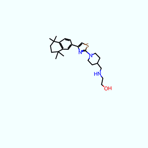 CC1(C)CCC(C)(C)c2cc(-c3csc(N4CCC(CNCCO)CC4)n3)ccc21